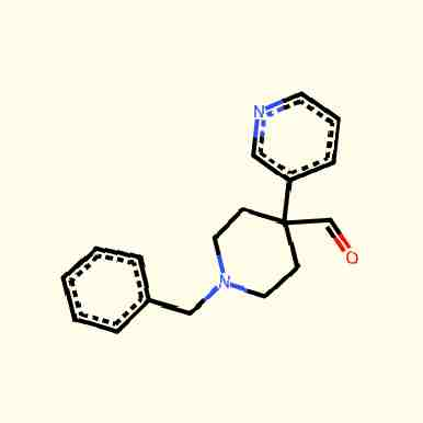 O=CC1(c2cccnc2)CCN(Cc2ccccc2)CC1